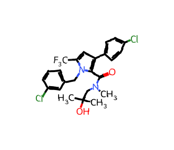 CN(CC(C)(C)O)C(=O)c1c(-c2ccc(Cl)cc2)cc(C(F)(F)F)n1Cc1cccc(Cl)c1